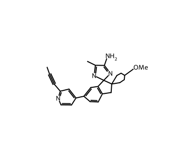 CC#Cc1cc(-c2ccc3c(c2)C2(N=C(C)C(N)=N2)C2(CCC(OC)CC2)C3)ccn1